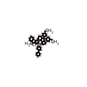 C=Cc1ccc(C2(c3ccc(C=C)cc3)c3ccccc3-c3c(N(c4ccc(-c5ccccc5)cc4)c4ccc5c(c4)C(C)(C)c4ccccc4-5)cccc32)cc1